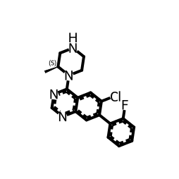 C[C@H]1CNCCN1c1ncnc2cc(-c3ccccc3F)c(Cl)cc12